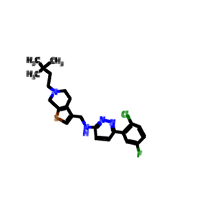 CC(C)(C)CCN1CCc2c(CNc3ccc(-c4cc(F)ccc4Cl)nn3)csc2C1